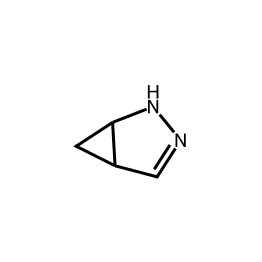 C1=NNC2CC12